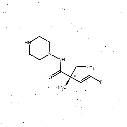 CC[C@](C)(/C=C/F)C(=O)NN1CCNCC1